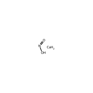 O=NO.[CaH2]